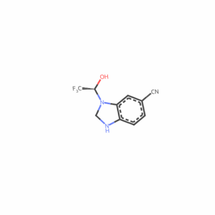 N#Cc1ccc2c(c1)N([C@H](O)C(F)(F)F)CN2